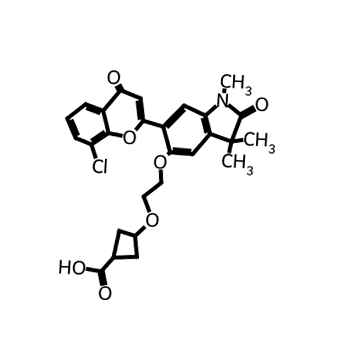 CN1C(=O)C(C)(C)c2cc(OCCOC3CC(C(=O)O)C3)c(-c3cc(=O)c4cccc(Cl)c4o3)cc21